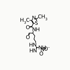 Cc1nc(C)c(C(=O)NC(C=O)CCCNC(=N)N[N+](=O)[O-])s1